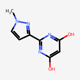 Cn1ccc(-c2nc(O)cc(O)n2)n1